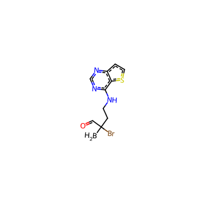 BC(Br)(C=O)CCNc1ncnc2ccsc12